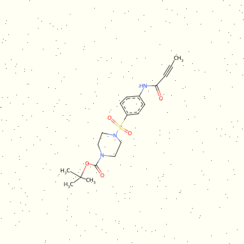 CC#CC(=O)Nc1ccc(S(=O)(=O)N2CCN(C(=O)OC(C)(C)C)CC2)cc1